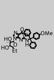 CCC1O[C@@H](n2cnc3c(=O)[nH]c(NC(c4ccccc4)(c4ccccc4)c4ccc(OC)cc4)nc32)[C@](C)(O)[C@@H]1O